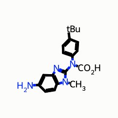 Cn1c(N(C(=O)O)c2ccc(C(C)(C)C)cc2)nc2cc(N)ccc21